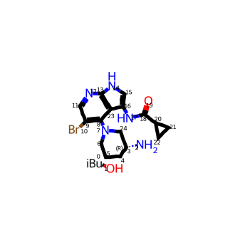 CCC(C)O.N[C@@H]1CCCN(c2c(Br)cnc3[nH]cc(NC(=O)C4CC4)c23)C1